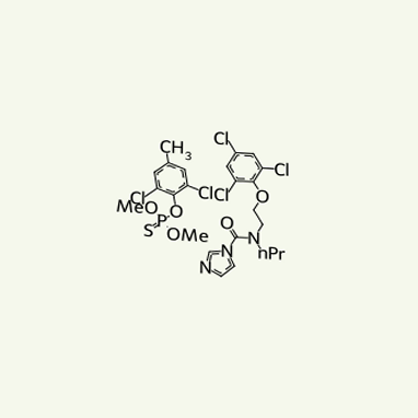 CCCN(CCOc1c(Cl)cc(Cl)cc1Cl)C(=O)n1ccnc1.COP(=S)(OC)Oc1c(Cl)cc(C)cc1Cl